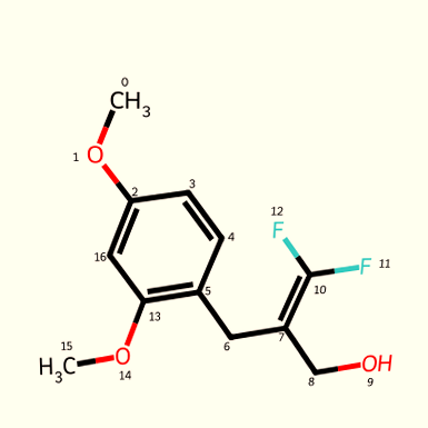 COc1ccc(CC(CO)=C(F)F)c(OC)c1